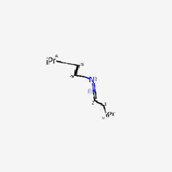 CC(C)C/C=N/CCC(C)C